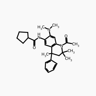 CC(=O)N1c2cc(N(C)C)c(NC(=O)C3CCCC3)cc2C(C)(c2ccccc2)CC1(C)C